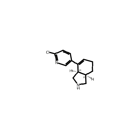 Clc1ccc(C2=CCC[C@H]3CNC[C@@H]23)cn1